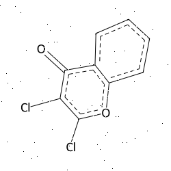 O=c1c(Cl)c(Cl)oc2ccccc12